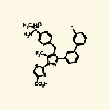 C[SH](N)(=O)c1ccc(Cc2c(-c3cccc(-c4cccc(F)c4)c3)nn(-c3nc(C(=O)O)cs3)c2C(F)(F)F)cc1